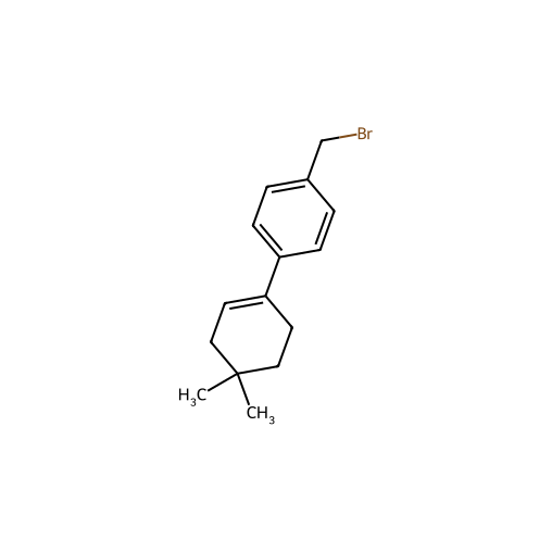 CC1(C)CC=C(c2ccc(CBr)cc2)CC1